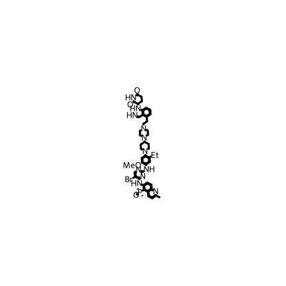 CCc1cc(Nc2ncc(Br)c(Nc3ccc4nc(C)ccc4c3P(C)(C)=O)n2)c(OC)cc1N1CCC(N2CCN(CCc3cccc(NC4CCC(=O)NC4=O)c3C=N)CC2)CC1